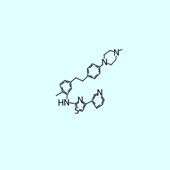 Cc1ccc(CCc2ccc(N3CCN(C)CC3)cc2)cc1Nc1nc(-c2cccnc2)cs1